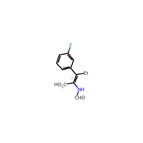 CC/C(=C(\NC=O)C(=O)O)c1cccc(F)c1